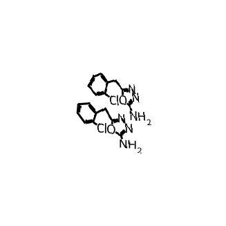 Nc1nnc(Cc2ccccc2Cl)o1.Nc1nnc(Cc2ccccc2Cl)o1